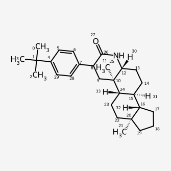 CC(C)(C)c1ccc(C2C[C@@]3(C)[C@@H](CC[C@H]4[C@@H]5CCC[C@@]5(C)CC[C@@H]43)NC2=O)cc1